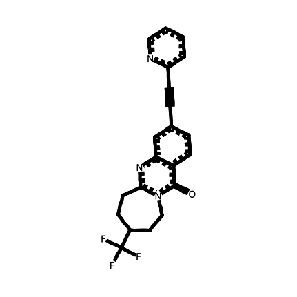 O=c1c2ccc(C#Cc3ccccn3)cc2nc2n1CCC(C(F)(F)F)CC2